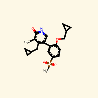 Cc1c(CC2CC2)c(-c2cc(S(C)(=O)=O)ccc2OCC2CC2)c[nH]c1=O